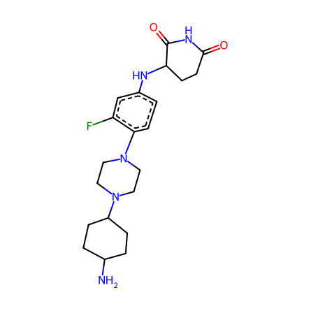 NC1CCC(N2CCN(c3ccc(NC4CCC(=O)NC4=O)cc3F)CC2)CC1